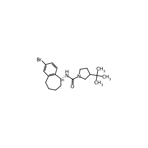 CC(C)(C)C1CCN(C(=O)N[C@@H]2CCCCc3cc(Br)ccc32)C1